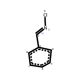 Cl/N=C/c1ccccc1